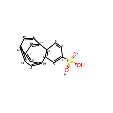 O=S(=O)(O)c1[c]c2c(cc1)-c1ccc3ccc-2cc3c1